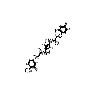 O=C(COc1ccc(Cl)c(F)c1)NC12CC(NC(=O)COc3ccc(F)cc3F)(C1)C2